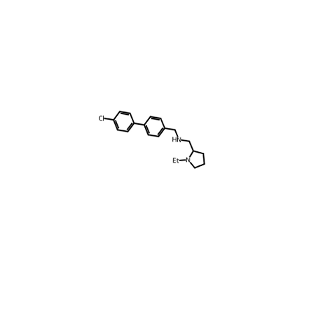 CCN1CCCC1CNCc1ccc(-c2ccc(Cl)cc2)cc1